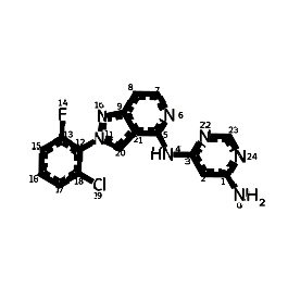 Nc1cc(Nc2nccc3nn(-c4c(F)cccc4Cl)cc23)ncn1